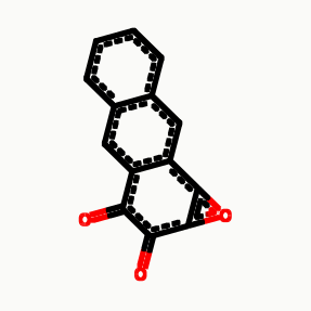 O=c1c2oc=2c2cc3ccccc3cc2c1=O